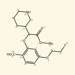 CC(C)(C)OC(=O)C(Oc1cc(OCCF)ccc1C(=O)O)C1CCCNC1